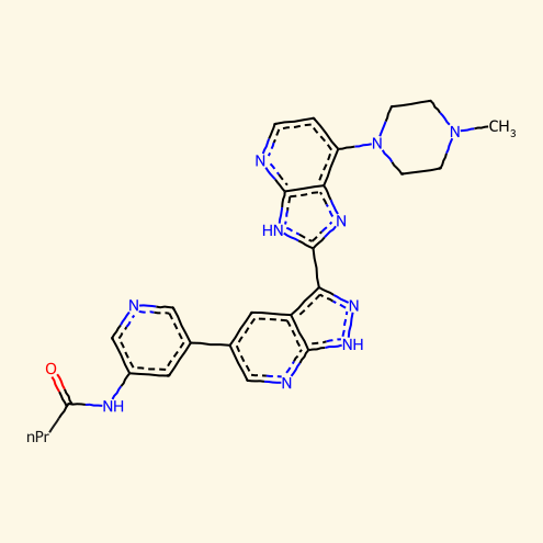 CCCC(=O)Nc1cncc(-c2cnc3[nH]nc(-c4nc5c(N6CCN(C)CC6)ccnc5[nH]4)c3c2)c1